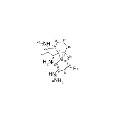 CCCC1(c2cc(F)cc(NN)c2N)C(C)CCCC1CNC